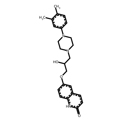 Cc1ccc(N2CCN(CC(O)COc3ccc4[nH]c(=O)ccc4c3)CC2)cc1C